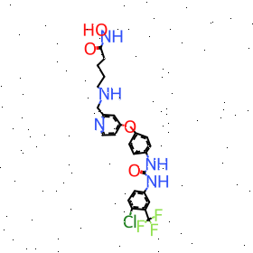 O=C(CCCCNCc1cc(Oc2ccc(NC(=O)Nc3ccc(Cl)c(C(F)(F)F)c3)cc2)ccn1)NO